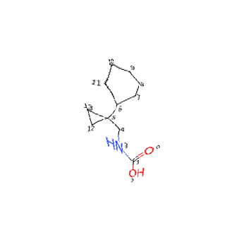 O=C(O)NCC1(C2CCCCC2)CC1